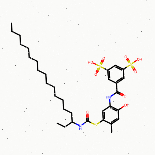 CCCCCCCCCCCCCCCC(CC)NC(=O)Sc1cc(NC(=O)c2cc(S(=O)(=O)O)cc(S(=O)(=O)O)c2)c(O)cc1C